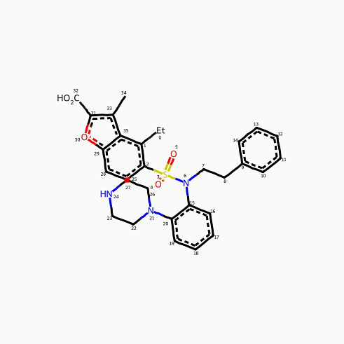 CCc1c(S(=O)(=O)N(CCc2ccccc2)c2ccccc2N2CCNCC2)ccc2oc(C(=O)O)c(C)c12